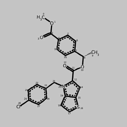 COC(=O)c1ccc([C@H](C)OC(=O)c2cc3sccc3n2Cc2ccc(Cl)cc2)cc1